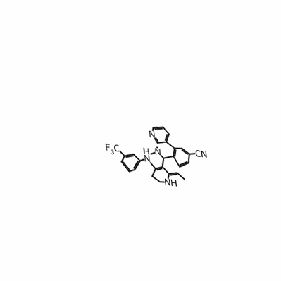 CC=C1NCCC(Nc2cccc(C(F)(F)F)c2)=C1C(c1ccc(C#N)cc1-c1cccnc1)N(C)C